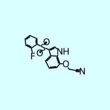 N#CCOc1cccc2c(S(=O)(=O)c3ccccc3F)c[nH]c12